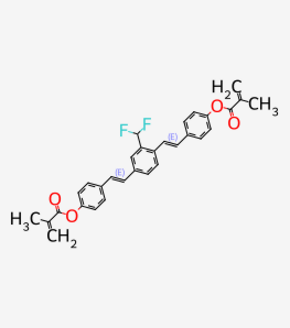 C=C(C)C(=O)Oc1ccc(/C=C/c2ccc(/C=C/c3ccc(OC(=O)C(=C)C)cc3)c(C(F)F)c2)cc1